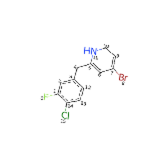 Fc1cc(CC2=CC(Br)=CCN2)ccc1Cl